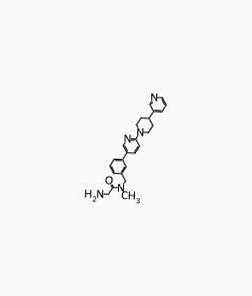 CN(Cc1cccc(-c2ccc(N3CCC(c4cccnc4)CC3)nc2)c1)C(=O)CN